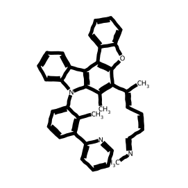 C/N=C/C=C\C=C(/C)c1c(C)c2c(c3ccccc3n2-c2cccc(-c3ccccn3)c2C)c2c1oc1ccccc12